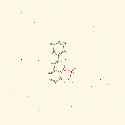 CC(C)Oc1ccccc1C=Cc1ccccc1